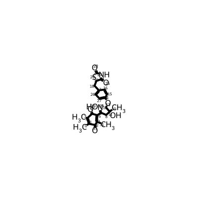 CC1=C(C)C(=O)C(/C(CC(C)(O)COc2ccc(CC3SC(=O)NC3=O)cc2)=N\O)=C(C)C1=O